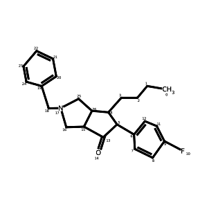 CCCCC1C(c2ccc(F)cc2)C(=O)C2CN(Cc3ccccc3)CC21